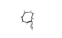 [2H]C1=CCCCCCC1